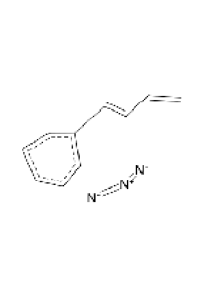 C=CC=Cc1ccccc1.[N-]=[N+]=[N-]